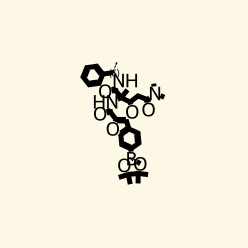 C[C@H](NC(=O)C1(C)NC(=O)c2oc3cc(B4OC(C)(C)C(C)(C)O4)ccc3c2OC1CC(=O)N(C)C)c1ccccc1